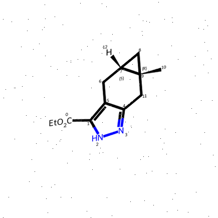 CCOC(=O)c1[nH]nc2c1C[C@@H]1C[C@]1(C)C2